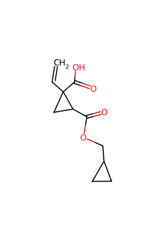 C=CC1(C(=O)O)CC1C(=O)OCC1CC1